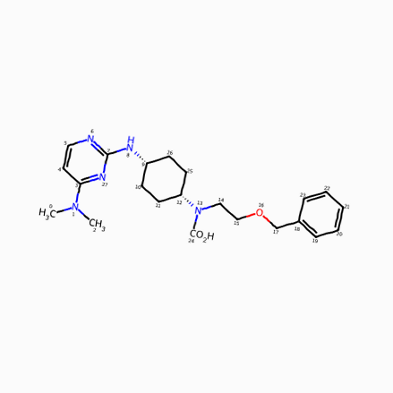 CN(C)c1ccnc(N[C@H]2CC[C@@H](N(CCOCc3ccccc3)C(=O)O)CC2)n1